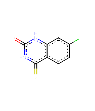 O=c1[nH]c(=S)c2ccc(Cl)cc2[nH]1